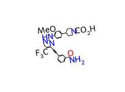 COc1cc(C2CCN(C(=O)O)CC2)ccc1Nc1ncc(C(F)(F)F)c(C#Cc2cccc(C(N)=O)c2)n1